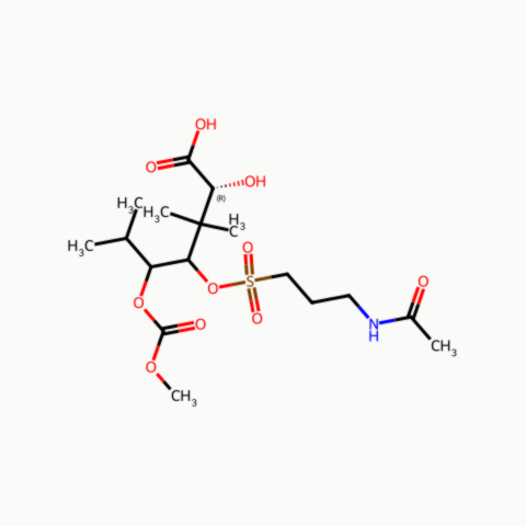 COC(=O)OC(C(C)C)C(OS(=O)(=O)CCCNC(C)=O)C(C)(C)[C@@H](O)C(=O)O